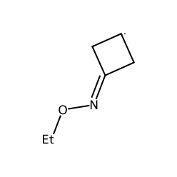 CCON=C1C[CH]C1